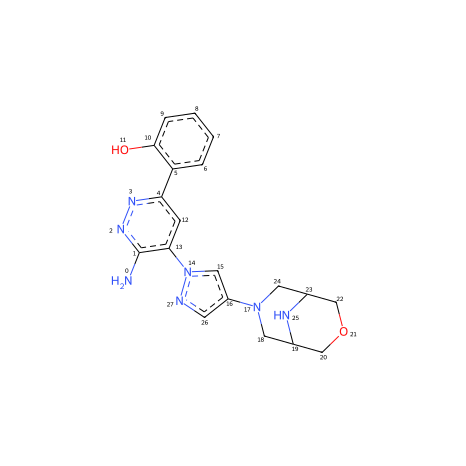 Nc1nnc(-c2ccccc2O)cc1-n1cc(N2CC3COCC(C2)N3)cn1